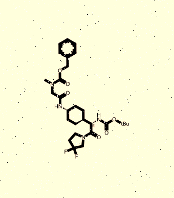 CN(CC(=O)N[C@H]1CC[C@H]([C@H](NC(=O)OC(C)(C)C)C(=O)N2CCC(F)(F)C2)CC1)C(=O)OCc1ccccc1